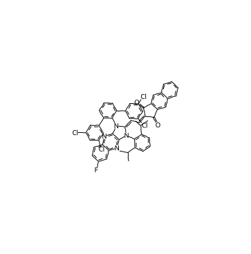 CC(C)c1cccc(C(C)C)c1N1/C(=C\C=C2C(=O)c3cc4ccccc4cc3C2=O)N(c2c(-c3cc(Cl)cc(Cl)c3)cccc2-c2cc(Cl)cc(Cl)c2)c2nc3ccc(F)cc3nc21